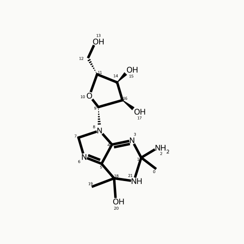 CC1(N)N=C2C(=NCN2[C@@H]2O[C@H](CO)[C@@H](O)[C@H]2O)C(C)(O)N1